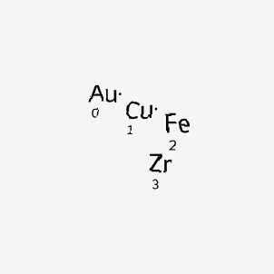 [Au].[Cu].[Fe].[Zr]